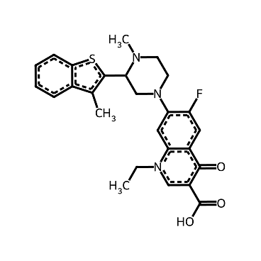 CCn1cc(C(=O)O)c(=O)c2cc(F)c(N3CCN(C)C(c4sc5ccccc5c4C)C3)cc21